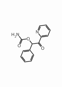 NC(=O)OC(C(=O)c1ccccn1)c1ccccc1